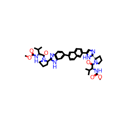 COC(=O)N[C@H](C(=O)N1CCCC1c1nc2ccc(-c3ccc4cc(-c5cnc([C@@H]6CCCN6C(=O)[C@@H](NC(=O)OC)C(C)C)[nH]5)ccc4c3)cc2[nH]1)C(C)C